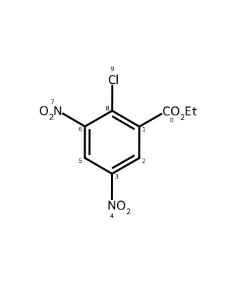 CCOC(=O)c1cc([N+](=O)[O-])cc([N+](=O)[O-])c1Cl